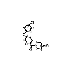 CC(C)N1CCN(C(=O)C2CCC(Oc3ccc(Cl)cn3)CC2)CC1